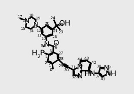 Cc1cc(P)c(C(=O)N(C)c2cc(N3CCN(C)CC3)cc(C(C)(C)O)c2)cc1C#Cc1cnc2c(Nc3cn[nH]c3)cccn12